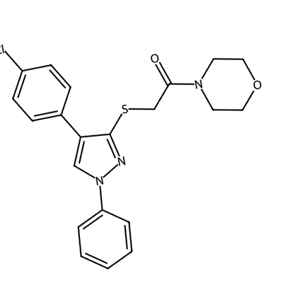 O=C(CSc1nn(-c2ccccc2)cc1-c1ccc(Cl)cc1)N1CCOCC1